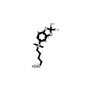 CCCCCCCCCCCCCC[N+](C)(C)c1ccc2c(c1)OC(F)(F)O2